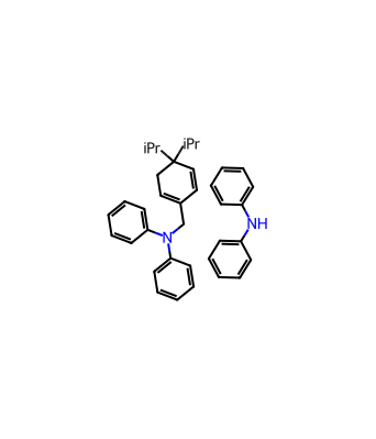 CC(C)C1(C(C)C)C=CC(CN(c2ccccc2)c2ccccc2)=CC1.c1ccc(Nc2ccccc2)cc1